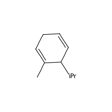 CC1=CCC=CC1C(C)C